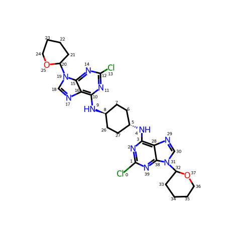 Clc1nc(N[C@H]2CC[C@H](Nc3nc(Cl)nc4c3ncn4C3CCCCO3)CC2)c2ncn(C3CCCCO3)c2n1